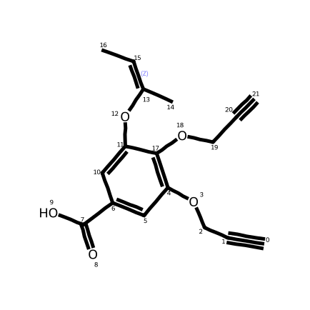 C#CCOc1cc(C(=O)O)cc(O/C(C)=C\C)c1OCC#C